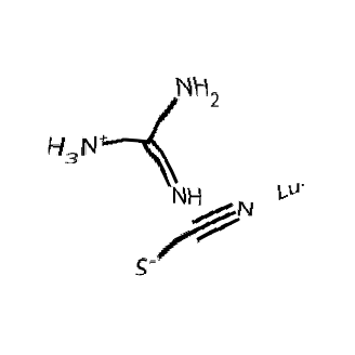 N#C[S-].N=C(N)[NH3+].[Lu]